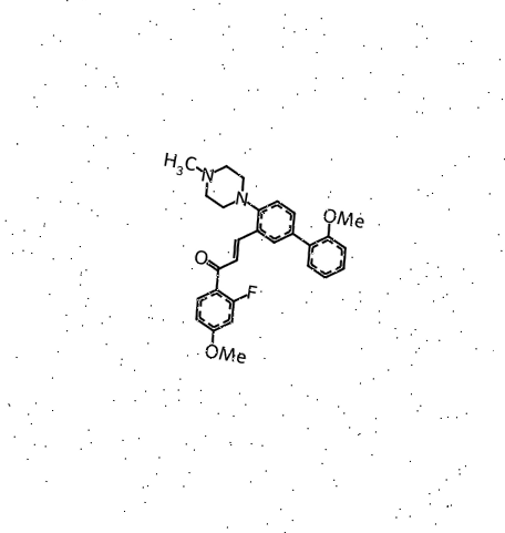 COc1ccc(C(=O)/C=C/c2cc(-c3ccccc3OC)ccc2N2CCN(C)CC2)c(F)c1